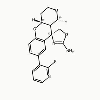 C[C@H]1OCC[C@H]2Oc3ccc(-c4cccnc4F)cc3[C@@]3(COC(N)=N3)C12